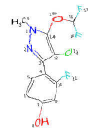 Cn1nc(-c2ccc(O)cc2F)c(Cl)c1OC(F)F